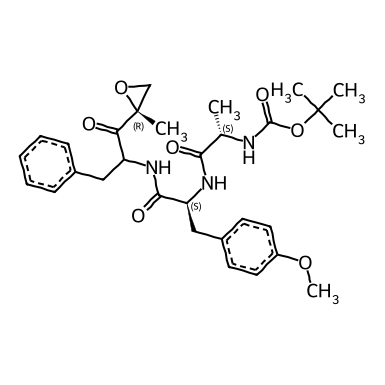 COc1ccc(C[C@H](NC(=O)[C@H](C)NC(=O)OC(C)(C)C)C(=O)NC(Cc2ccccc2)C(=O)[C@@]2(C)CO2)cc1